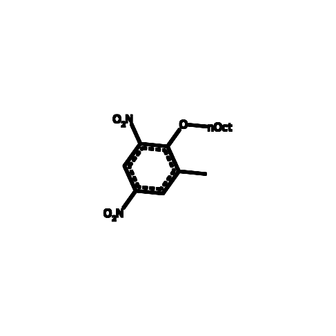 CCCCCCCCOc1c(C)cc([N+](=O)[O-])cc1[N+](=O)[O-]